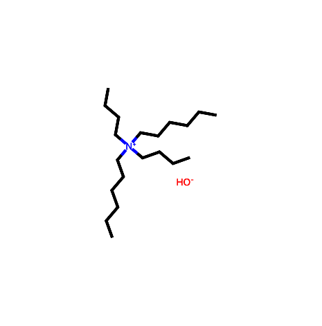 CCCCCC[N+](CCCC)(CCCC)CCCCCC.[OH-]